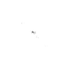 Br.Br.CCCCCCCCCCCCCCCCN1C=CC(=C2C=CN(CCCCCCCCCCCCCCCC)C=C2)C=C1